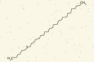 CCCCCCCCCCCCCCCCCCCCCCCCSCCCCCC